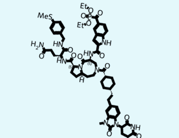 CCOP(=O)(OCC)C(=O)c1ccc2[nH]c(C(=O)N[C@H]3CN(C(=O)[C@H]4CC[C@@H](CCc5ccc6c(c5)n(C)c(=O)n6C5CCC(=O)NC5=O)CC4)CC[C@H]4CC[C@@H](C(=O)N[C@@H](CCC(N)=O)C(=O)NCc5ccc(SC)cc5)N4C3=O)cc2c1